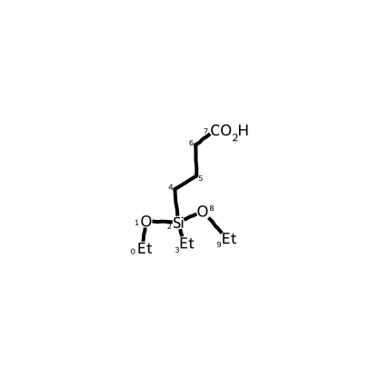 CCO[Si](CC)(CCCC(=O)O)OCC